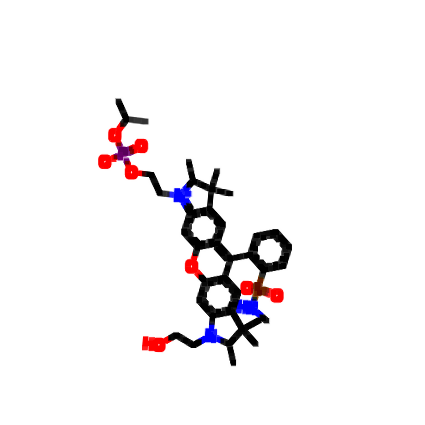 CNS(=O)(=O)c1ccccc1C1=c2cc3c(cc2Oc2cc4c(cc21)C(C)(C)C(C)N4CCO)=[N+](CCOP(=O)([O-])OC(C)C)C(C)C3(C)C